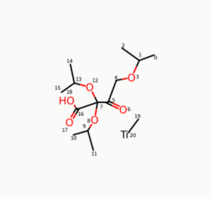 CC(C)OCC(=O)C(OC(C)C)(OC(C)C)C(=O)O.[CH3][Ti]